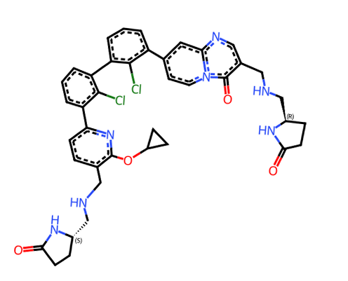 O=C1CC[C@H](CNCc2cnc3cc(-c4cccc(-c5cccc(-c6ccc(CNC[C@@H]7CCC(=O)N7)c(OC7CC7)n6)c5Cl)c4Cl)ccn3c2=O)N1